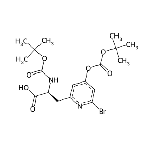 CC(C)(C)OC(=O)N[C@@H](Cc1cc(OC(=O)OC(C)(C)C)cc(Br)n1)C(=O)O